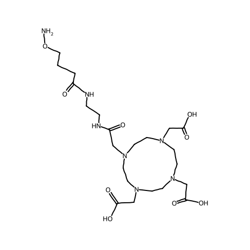 NOCCCC(=O)NCCNC(=O)CN1CCN(CC(=O)O)CCN(CC(=O)O)CCN(CC(=O)O)CC1